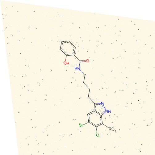 O=C(NCCCCc1n[nH]c2c([N+](=O)[O-])c(Cl)c(Br)cc12)c1ccccc1O